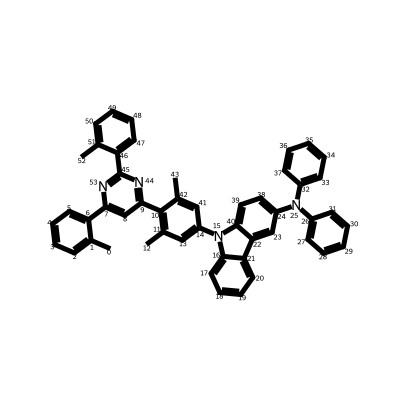 Cc1ccccc1-c1cc(-c2c(C)cc(-n3c4ccccc4c4cc(N(c5ccccc5)c5ccccc5)ccc43)cc2C)nc(-c2ccccc2C)n1